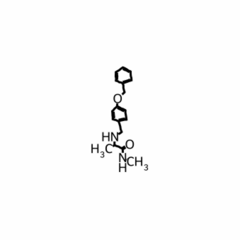 CNC(=O)C(C)NCc1ccc(OCc2ccccc2)cc1